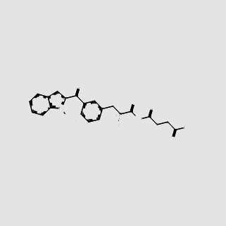 Cn1c(C(=O)c2cccc(C[C@H](N)C(=O)OC(=O)CCC(N)=O)c2)cc2ccccc21